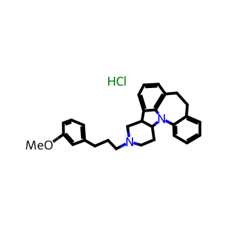 COc1cccc(CCCN2CCC3C(C2)c2cccc4c2N3c2ccccc2CC4)c1.Cl